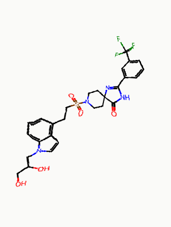 O=C1NC(c2cccc(C(F)(F)F)c2)=NC12CCN(S(=O)(=O)CCc1cccc3c1ccn3CC(O)CO)CC2